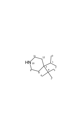 CC(C)C1(C(C)(C)C)CCNCC1